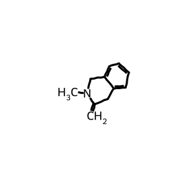 C=C1Cc2ccccc2CN1C